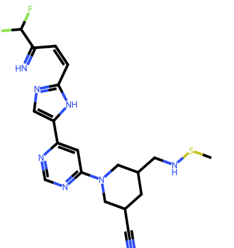 CSNCC1CC(C#N)CN(c2cc(-c3cnc(/C=C\C(=N)C(F)F)[nH]3)ncn2)C1